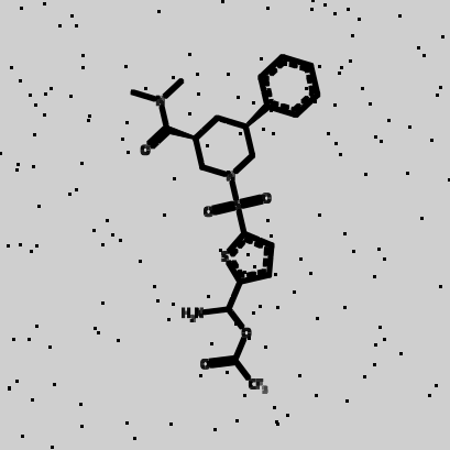 CN(C)C(=O)[C@H]1C[C@@H](c2ccccc2)CN(S(=O)(=O)c2ccc(C(N)OC(=O)C(F)(F)F)s2)C1